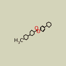 CC1CCC(C2CCC(C(=O)Oc3ccc(C4CCCCC4)cc3)CC2)CC1